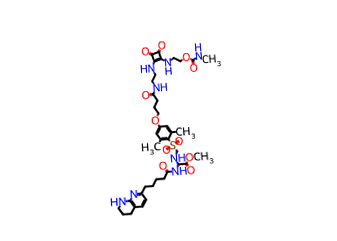 CNC(=O)OCCNc1c(NCCNC(=O)CCCOc2cc(C)c(S(=O)(=O)CNC(NC(=O)CCCCc3ccc4c(n3)NCCC4)C(=O)OC)c(C)c2)c(=O)c1=O